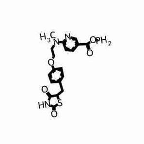 CN(CCOc1ccc(CC2SC(=O)NC2=O)cc1)c1ccc(C(=O)OP)cn1